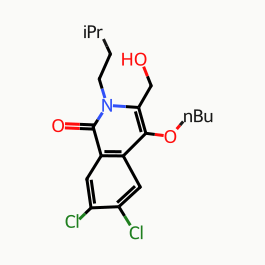 CCCCOc1c(CO)n(CCC(C)C)c(=O)c2cc(Cl)c(Cl)cc12